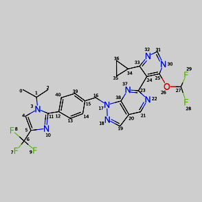 CC(C)n1cc(C(F)(F)F)nc1-c1ccc(Cn2ncc3cnc(-c4c(OC(F)F)ncnc4C4CC4)nc32)cc1